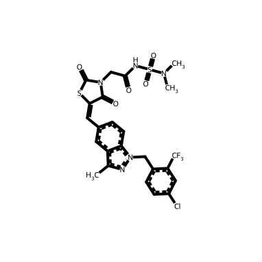 Cc1nn(Cc2ccc(Cl)cc2C(F)(F)F)c2ccc(C=C3SC(=O)N(CC(=O)NS(=O)(=O)N(C)C)C3=O)cc12